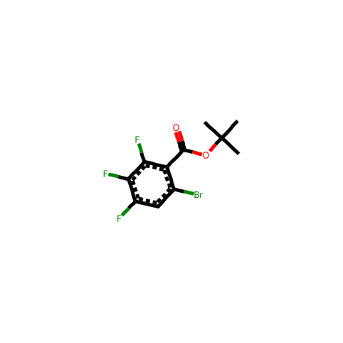 CC(C)(C)OC(=O)c1c(Br)cc(F)c(F)c1F